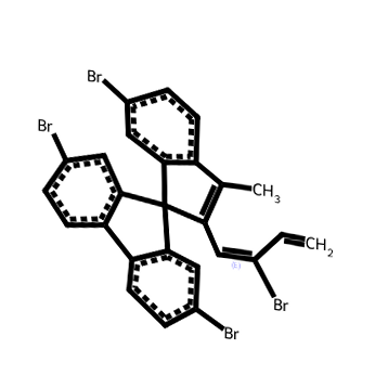 C=C/C(Br)=C\C1=C(C)c2ccc(Br)cc2C12c1cc(Br)ccc1-c1ccc(Br)cc12